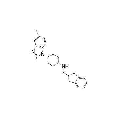 Cc1ccc2c(c1)nc(C)n2[C@H]1CC[C@@H](NCC2Cc3ccccc3C2)CC1